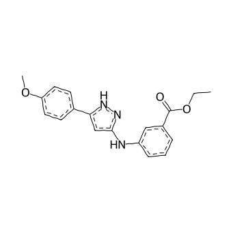 CCOC(=O)c1cccc(Nc2cc(-c3ccc(OC)cc3)[nH]n2)c1